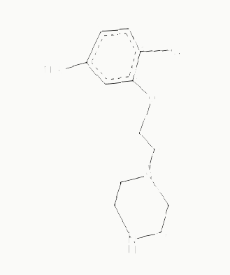 Cc1ccc(Cl)c(OCCN2CCNCC2)c1